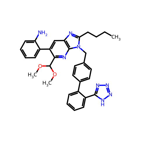 CCCCc1nc2cc(-c3ccccc3N)c(C(OC)OC)nc2n1Cc1ccc(-c2ccccc2-c2nnn[nH]2)cc1